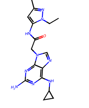 CCn1nc(C)cc1NC(=O)Cn1cnc2c(NC3CC3)nc(N)nc21